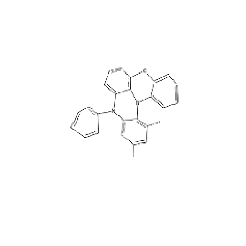 Cc1cc(C)c2c(c1)N(c1ccccc1)c1cccc3c1B2c1ccccc1O3